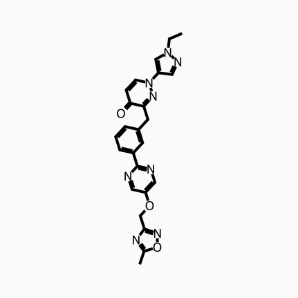 CCn1cc(-n2ccc(=O)c(Cc3cccc(-c4ncc(OCc5noc(C)n5)cn4)c3)n2)cn1